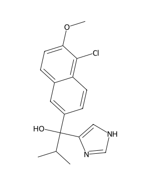 COc1ccc2cc(C(O)(c3c[nH]cn3)C(C)C)ccc2c1Cl